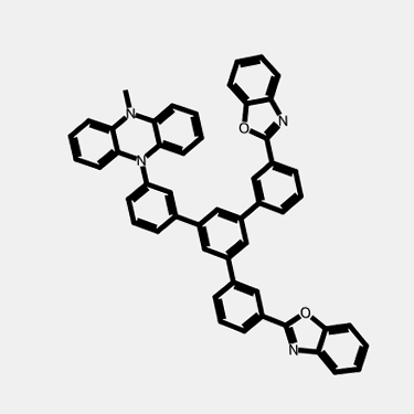 CN1c2ccccc2N(c2cccc(-c3cc(-c4cccc(-c5nc6ccccc6o5)c4)cc(-c4cccc(-c5nc6ccccc6o5)c4)c3)c2)c2ccccc21